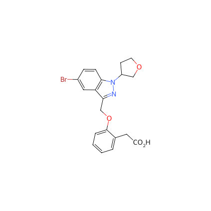 O=C(O)Cc1ccccc1OCc1nn(C2CCOC2)c2ccc(Br)cc12